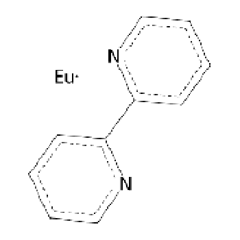 [Eu].c1ccc(-c2ccccn2)nc1